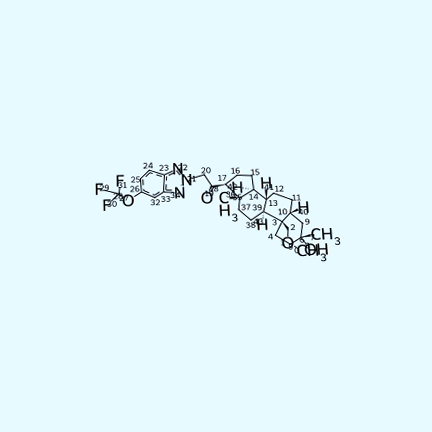 COC[C@]12CC[C@@](C)(O)C[C@H]1CC[C@H]1[C@@H]3CC[C@H](C(=O)Cn4nc5ccc(OC(F)(F)F)cc5n4)[C@@]3(C)CC[C@@H]12